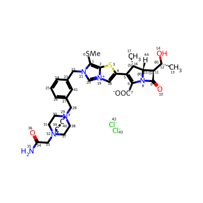 CSc1c2sc(C3=C(C(=O)[O-])N4C(=O)[C@H]([C@@H](C)O)[C@H]4[C@H]3C)c[n+]2cn1Cc1cccc(C[N+]23CC[N+](CC(N)=O)(CC2)CC3)c1.[Cl-].[Cl-]